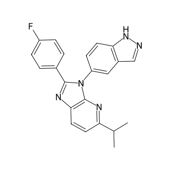 CC(C)c1ccc2nc(-c3ccc(F)cc3)n(-c3ccc4[nH]ncc4c3)c2n1